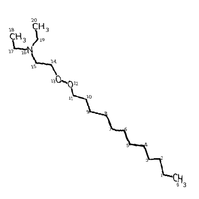 CCCCCCCCCCCCOOCCN(CC)CC